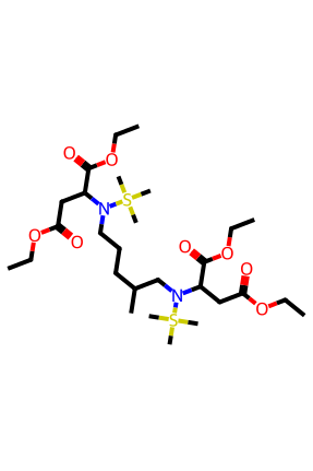 CCOC(=O)CC(C(=O)OCC)N(CCCC(C)CN(C(CC(=O)OCC)C(=O)OCC)S(C)(C)C)S(C)(C)C